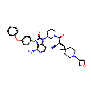 CC1(C=C(C#N)C(=O)N2CCCC(n3c(=O)n(-c4ccc(Oc5ccccc5)cc4)c4c(N)nccc43)C2)CCN(C2COC2)CC1